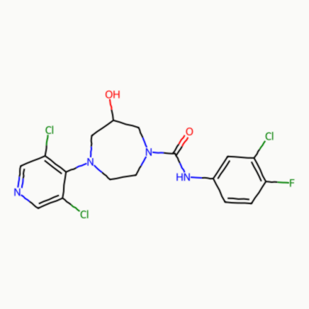 O=C(Nc1ccc(F)c(Cl)c1)N1CCN(c2c(Cl)cncc2Cl)CC(O)C1